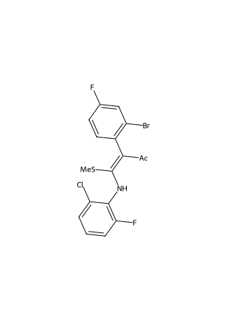 CSC(Nc1c(F)cccc1Cl)=C(C(C)=O)c1ccc(F)cc1Br